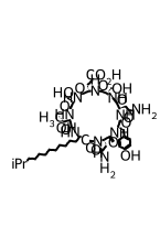 CC(C)CCCCCCCCCCC1CC(=O)N[C@@H](CC(N)=O)C(=O)N[C@H](Cc2ccc(O)cc2)C(=O)N[C@H](CC(N)=O)C(=O)N[C@@H](CO)C(=O)N[C@@H](CCC(=O)O)C(=O)N[C@H](CO)C(=O)N[C@@H]([C@@H](C)O)C(=O)N1